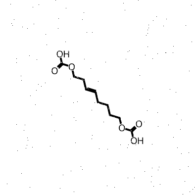 O=C(O)OCCC=CCCCCOC(=O)O